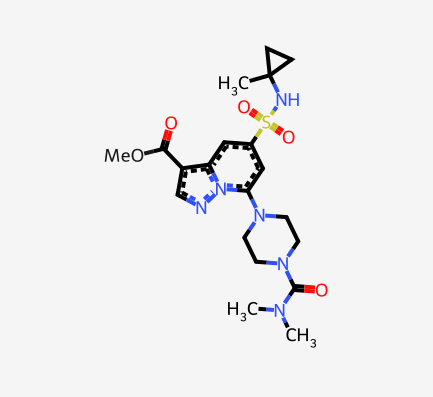 COC(=O)c1cnn2c(N3CCN(C(=O)N(C)C)CC3)cc(S(=O)(=O)NC3(C)CC3)cc12